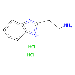 Cl.Cl.NCCc1nc2ccccc2[nH]1